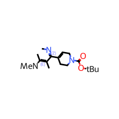 C/N=C(C1=CCN(C(=O)OC(C)(C)C)CC1)\C(C)=C(/C)NC